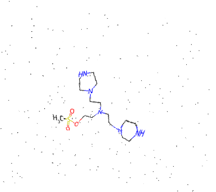 CS(=O)(=O)OCCN(CCN1CCNCC1)CCN1CCNCC1